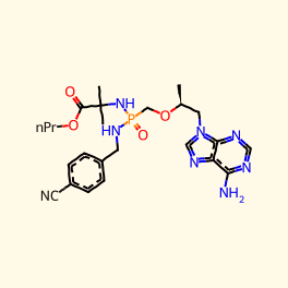 CCCOC(=O)C(C)(C)NP(=O)(CO[C@@H](C)Cn1cnc2c(N)ncnc21)NCc1ccc(C#N)cc1